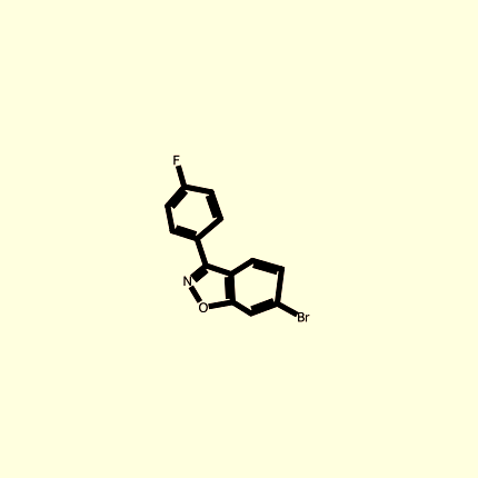 Fc1ccc(-c2noc3cc(Br)ccc23)cc1